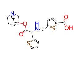 O=C(O)c1ccc(CNC(C(=O)OC2CN3CCC2CC3)c2cccs2)s1